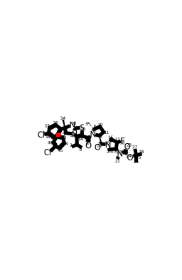 CC(C)C1=C(C(=O)N2[C@H](C)CC[C@H]2C(=O)N2CC(F)C(N(C)C(=O)OC(C)(C)C)C2)SC2=N[C@@](C)(c3ccc(Cl)cc3)[C@@H](c3ccc(Cl)cc3)N21